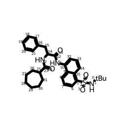 CC(C)(C)NS(=O)(=O)c1cccc2c(NC(=O)C(Cc3ccccc3)NC(=O)C3CCCCCC3)cccc12